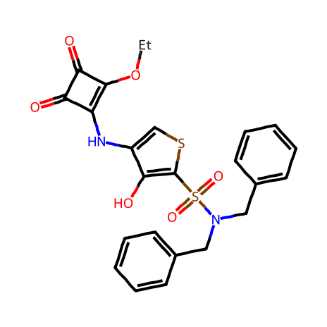 CCOc1c(Nc2csc(S(=O)(=O)N(Cc3ccccc3)Cc3ccccc3)c2O)c(=O)c1=O